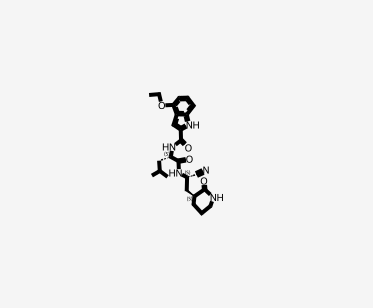 CCOc1cccc2[nH]c(C(=O)N[C@@H](CC(C)C)C(=O)N[C@H](C#N)C[C@@H]3CCCNC3=O)cc12